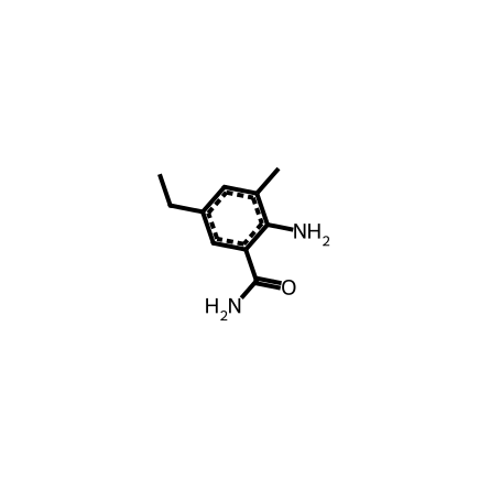 CCc1cc(C)c(N)c(C(N)=O)c1